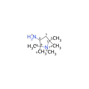 CN1C(C)(C)CC(N)C1(C)C